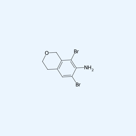 Nc1c(Br)cc2c(c1Br)COCC2